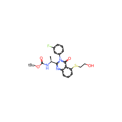 C[C@H](NC(=O)OC(C)(C)C)c1nc2cccc(SCCO)c2c(=O)n1-c1cccc(F)c1